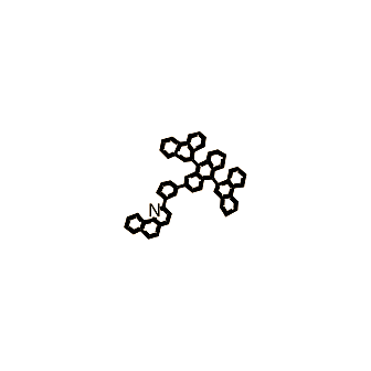 c1cc(-c2ccc3c(-c4cc5ccccc5c5ccccc45)c4ccccc4c(-c4cc5ccccc5c5ccccc45)c3c2)cc(-c2ccc3ccc4ccccc4c3n2)c1